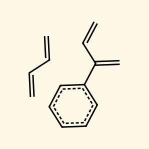 C=CC(=C)c1ccccc1.C=CC=C